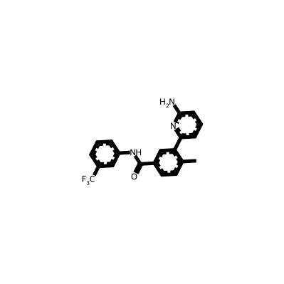 Cc1ccc(C(=O)Nc2cccc(C(F)(F)F)c2)cc1-c1cccc(N)n1